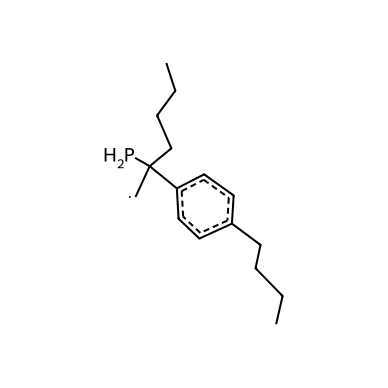 [CH2]C(P)(CCCC)c1ccc(CCCC)cc1